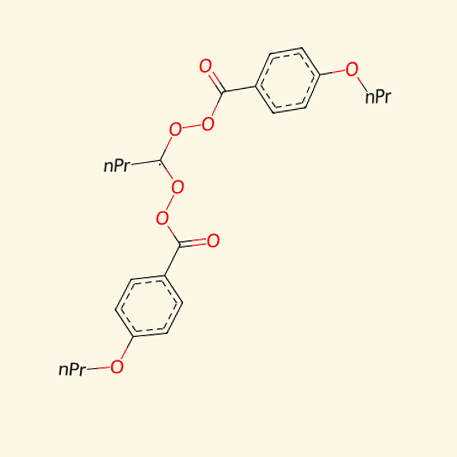 [CH2]CC[C](OOC(=O)c1ccc(OCCC)cc1)OOC(=O)c1ccc(OCCC)cc1